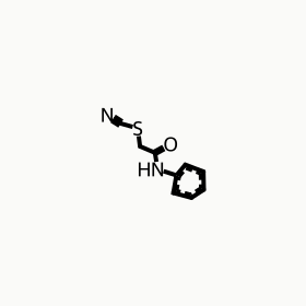 N#CSCC(=O)Nc1ccccc1